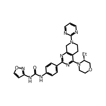 CC[C@H]1COCCN1c1nc(-c2ccc(NC(=O)Nc3ccon3)cc2)nc2c1CCN(c1ncccn1)C2